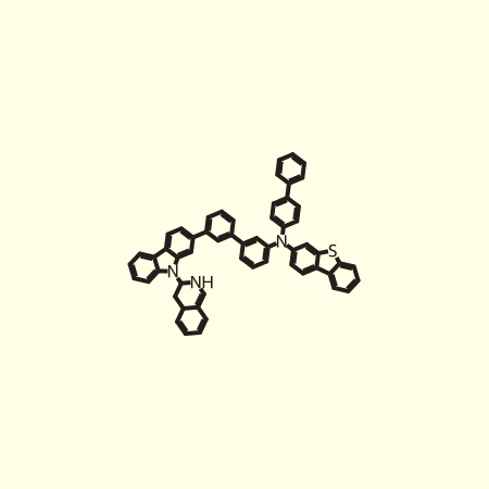 C1=CC2=CNC(n3c4ccccc4c4ccc(-c5cccc(-c6cccc(N(c7ccc(-c8ccccc8)cc7)c7ccc8c(c7)sc7ccccc78)c6)c5)cc43)CC2C=C1